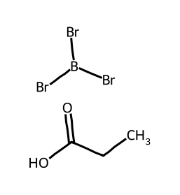 BrB(Br)Br.CCC(=O)O